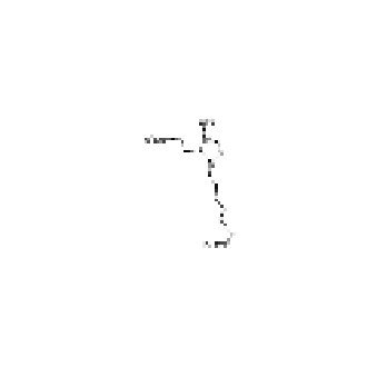 CCCCCCCCCCCCCCCCN1C=CN(CCC)C1CCCCCCCCCCCC